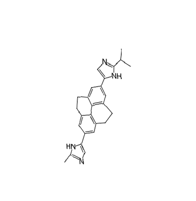 Cc1ncc(-c2cc3c4c(c2)CCc2cc(-c5cnc(C(C)C)[nH]5)cc(c2-4)CC3)[nH]1